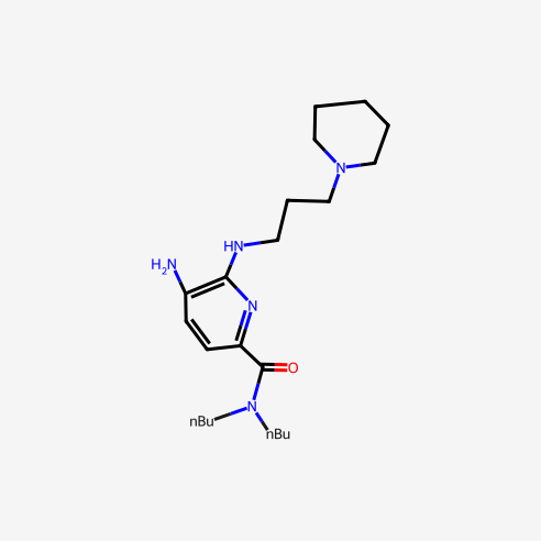 CCCCN(CCCC)C(=O)c1ccc(N)c(NCCCN2CCCCC2)n1